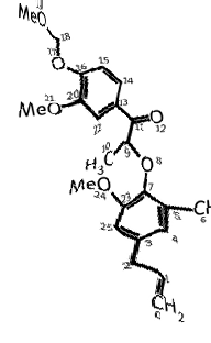 C=CCc1cc(C)c(OC(C)C(=O)c2ccc(OCOC)c(OC)c2)c(OC)c1